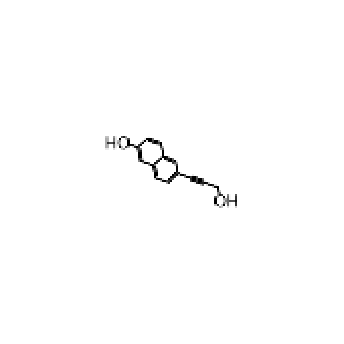 OCC#Cc1ccc2cc(O)ccc2c1